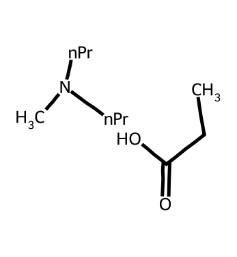 CCC(=O)O.CCCN(C)CCC